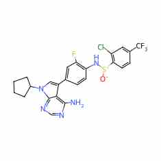 Nc1ncnc2c1c(-c1ccc(N[S+]([O-])c3ccc(C(F)(F)F)cc3Cl)c(F)c1)cn2C1CCCC1